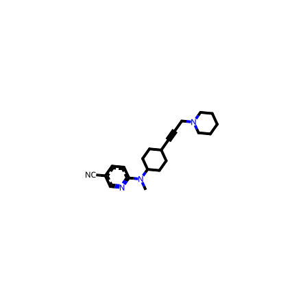 CN(c1ccc(C#N)cn1)C1CCC(C#CCN2CCCCC2)CC1